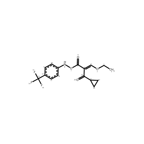 CCOC=C(C(=O)ONc1ccc(C(F)(F)F)cc1)C(=O)C1CC1